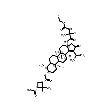 CCOC(=O)NC(C)(C)C(=O)N[C@@]12CC[C@]3(C)[C@H](CCC4[C@@]5(C)CC[C@H](OC(=O)[C@H]6C[C@@H](C(=O)O)C6(C)C)[C@H](C)C5CC[C@]43C)C1=C(C(C)C)C(=O)C2